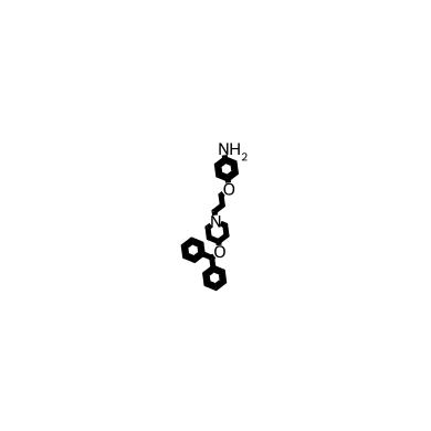 Nc1ccc(OCCCN2CCC(OC(c3ccccc3)c3ccccc3)CC2)cc1